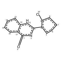 O=c1nc(-c2cc[c]cc2Cl)[nH]c2ccccc12